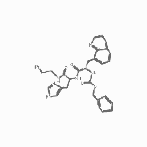 CC(C)C[CH]NC(=O)C(Cc1c[nH]cn1)NC(=O)[C@@H](Cc1cccc2cccnc12)NC(=O)OCc1ccccc1